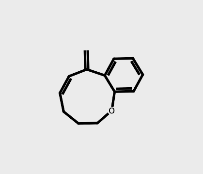 C=C1/C=C\CCCOc2ccccc21